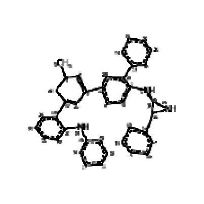 CC1C=C(c2ccc(N[C@H]3NC3c3ccccc3)c(-c3ccccc3)c2)C=C(c2ccccc2Nc2ccccc2)C1